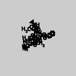 CCCC(NC(=O)CC[C@H](CNC(=O)[C@@H](NC(=O)[C@H](NC(=O)CCCCc1nnn[nH]1)C(C)C)C(C)C)OC(=O)N1CCc2ccccc2C1)C(=O)C(=O)NC1CC1